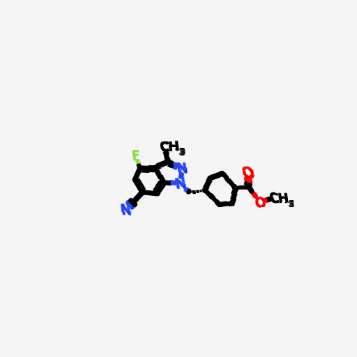 COC(=O)[C@H]1CC[C@H](Cn2nc(C)c3c(F)cc(C#N)cc32)CC1